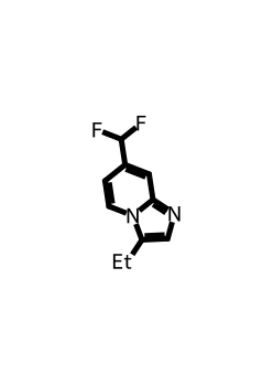 CCc1cnc2cc(C(F)F)ccn12